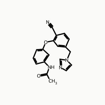 CC(=O)Nc1cccc(Oc2cc(Cn3ccnc3)ccc2C#N)c1